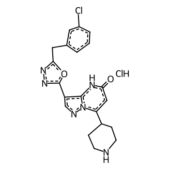 Cl.O=c1cc(C2CCNCC2)n2ncc(-c3nnc(Cc4cccc(Cl)c4)o3)c2[nH]1